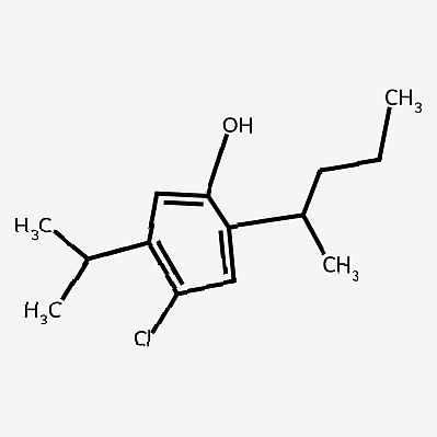 CCCC(C)c1cc(Cl)c(C(C)C)cc1O